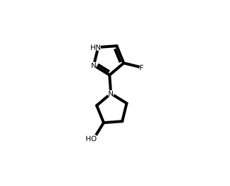 OC1CCN(c2n[nH]cc2F)C1